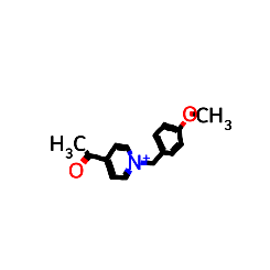 COc1ccc(C[n+]2ccc(C(C)=O)cc2)cc1